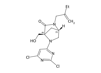 C=C(CC)CN1C(=O)[C@]2(CO)C[C@H]1CN2c1cc(Cl)nc(Cl)n1